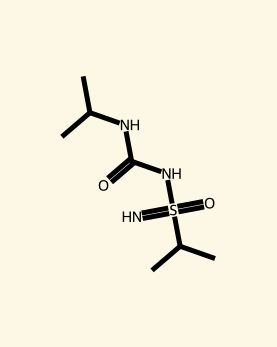 CC(C)NC(=O)NS(=N)(=O)C(C)C